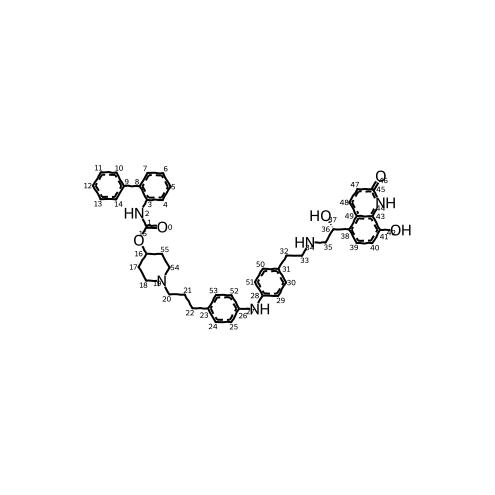 O=C(Nc1ccccc1-c1ccccc1)OC1CCN(CCCc2ccc(Nc3ccc(CCNC[C@H](O)c4ccc(O)c5[nH]c(=O)ccc45)cc3)cc2)CC1